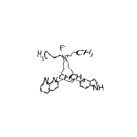 CCCC[N+](CCCC)(CCCC)CCCC.[F-].c1cnc2nc(CCCc3ccc4[nH]ccc4c3)ccc2c1